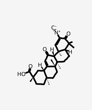 [C-]#[N+]C1=C[C@]2(C)[C@H]3C(=O)C=C4[C@H]5C[C@@](C)(C(=O)O)CC[C@]5(C)CC[C@@]4(C)[C@]3(C)CC[C@H]2C(C)(C)C1=O